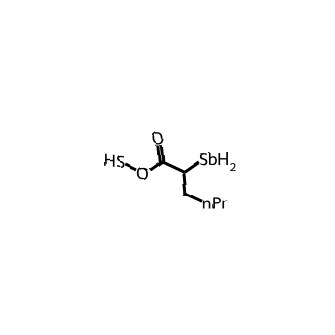 CCCC[CH]([SbH2])C(=O)OS